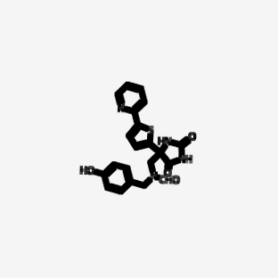 O=CN(Cc1ccc(O)cc1)CC1(c2ccc(-c3ccccn3)s2)NC(=O)NC1=O